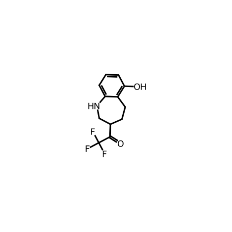 O=C(C1CCc2c(O)cccc2NC1)C(F)(F)F